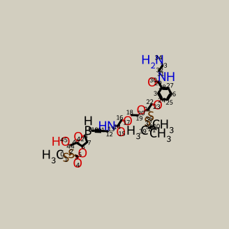 CSSC(=O)O[C@@H]1C[C@H](BC#CCNC(=O)COCCOC(COc2cccc(C(=O)NCCN)c2)SSC(C)(C)C)OC1CO